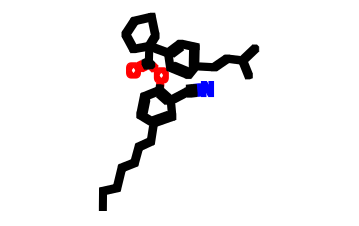 CCCCCCCc1ccc(OC(=O)C2(c3ccc(CCC(C)C)cc3)CCCCC2)c(C#N)c1